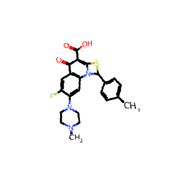 Cc1ccc(C2Sc3c(C(=O)O)c(=O)c4cc(F)c(N5CCN(C)CC5)cc4n32)cc1